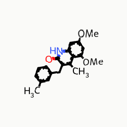 COc1cc(OC)c2c(C)c(Cc3cccc(C)c3)c(=O)[nH]c2c1